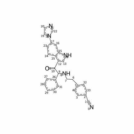 N#Cc1ccc(CCNC(C(=O)c2c[nH]c3cc(-n4ccnc4)ccc23)c2ccccc2)cc1